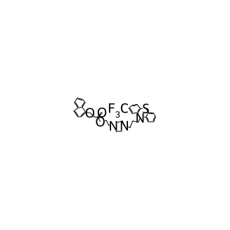 O=C(COc1cccc2ccccc12)OCCN1CCN(CCCN2c3ccccc3Sc3ccc(C(F)(F)F)cc32)CC1